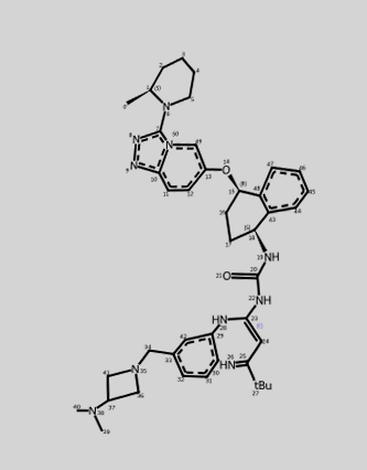 C[C@H]1CCCCN1c1nnc2ccc(O[C@@H]3CC[C@H](NC(=O)N/C(=C/C(=N)C(C)(C)C)Nc4cccc(CN5CC(N(C)C)C5)c4)c4ccccc43)cn12